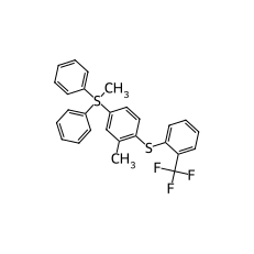 Cc1cc(S(C)(c2ccccc2)c2ccccc2)ccc1Sc1ccccc1C(F)(F)F